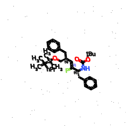 CCCC(C)(C)[Si](C)(C)OC[C@H](/C=C(\F)[C@@H](Cc1ccccc1)NC(=O)OC(C)(C)C)Cc1ccccc1